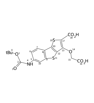 CC(C)(C)OC(=O)Nc1ccc2c(c1)sc1c(OCC(=O)O)c(C(=O)O)sc12